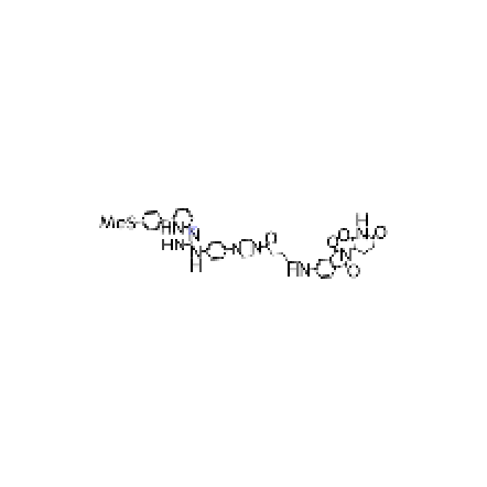 CSc1ccc(-c2ccc/c(=N/C(=N)Nc3ccc(N4CCN(C(=O)CCCCNc5ccc6c(c5)C(=O)N(C5CCC(=O)NC5=O)C6=O)CC4)cc3)[nH]2)cc1